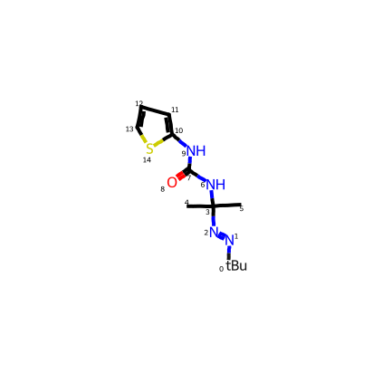 CC(C)(C)/N=N/C(C)(C)NC(=O)Nc1cccs1